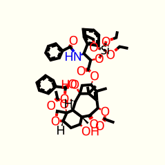 CCO[Si](OCC)(OCC)O[C@@H](C(=O)O[C@H]1C[C@@]2(O)[C@@H](OC(=O)c3ccccc3)[C@@H]3[C@]4(OC(C)=O)CO[C@@H]4C[C@H](O)[C@@]3(C)C(=O)[C@H](OC(C)=O)C(=C1C)C2(C)C)[C@@H](NC(=O)c1ccccc1)c1ccccc1